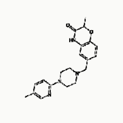 Cc1ccc(N2CCN(Cc3ccc4c(c3)NC(=O)C(C)O4)CC2)nc1